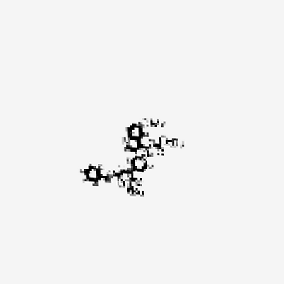 COc1ccc2nccc([C@@H](CN3CCC(N(CC(=O)OCc4ccccc4)C(=O)OC(C)(C)C)CC3)OC(=O)OC(C)(C)C)c2c1